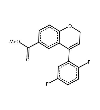 COC(=O)c1ccc2c(c1)C(c1cc(F)ccc1F)=CCO2